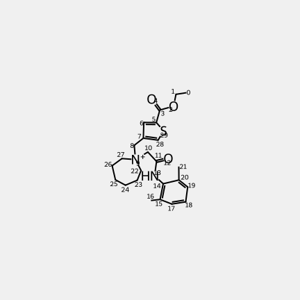 CCOC(=O)c1cc(C[N+]2(CC(=O)Nc3c(C)cccc3C)CCCCCC2)cs1